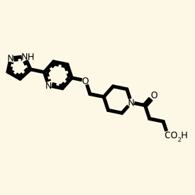 O=C(O)CCC(=O)N1CCC(COc2ccc(-c3ccn[nH]3)nc2)CC1